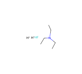 CCN(CC)CC.F.[H+].[H+]